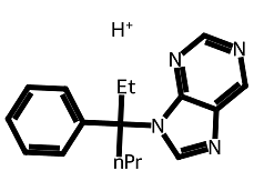 [CH2]CCC(CC)(c1ccccc1)n1cnc2cncnc21.[H+]